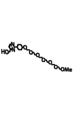 COCCOCCOCCOCCOCCOCCOC1CCC(c2nccc(CO)n2)CC1